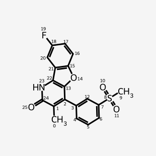 Cc1c(-c2cccc(S(C)(=O)=O)c2)c2oc3ccc(F)cc3c2[nH]c1=O